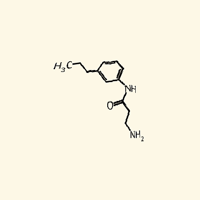 CCCc1cccc(NC(=O)CCN)c1